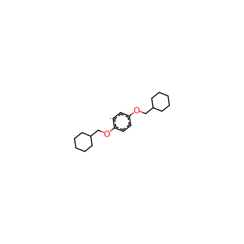 [c]1cc(OCC2CCCCC2)ccc1OCC1CCCCC1